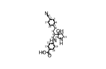 N#Cc1ccc(CCC(CNc2ccc(C(=O)O)cc2)C2(O)CCNC2)cc1